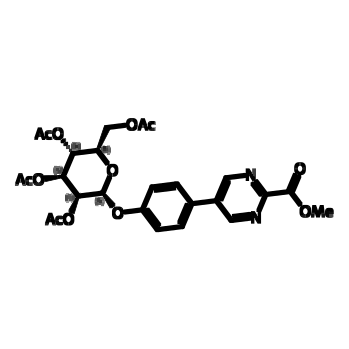 COC(=O)c1ncc(-c2ccc(O[C@@H]3O[C@H](COC(C)=O)[C@@H](OC(C)=O)[C@H](OC(C)=O)[C@@H]3OC(C)=O)cc2)cn1